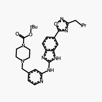 CC(C)Cc1noc(-c2ccc3nc(Nc4cc(CN5CCN(C(=O)OC(C)(C)C)CC5)ccn4)[nH]c3c2)n1